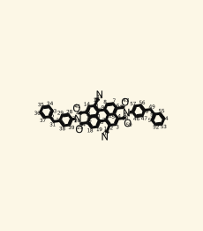 N#Cc1cc2c3c(ccc4c5c(C#N)cc6c7c(ccc(c1c34)c75)C(=O)N(c1ccc(Cc3ccccc3)cc1)C6=O)C(=O)N(c1ccc(Cc3ccccc3)cc1)C2=O